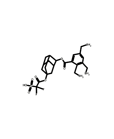 BCc1cc(CB)c(CB)c(C(=O)OC2C3CC4CC2CC(OC(=O)C(F)(F)S(=O)(=O)O)(C4)C3)c1